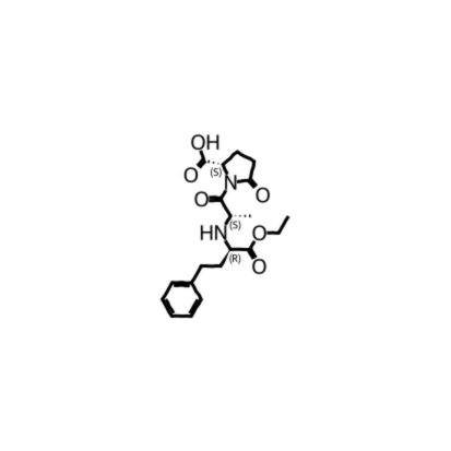 CCOC(=O)[C@@H](CCc1ccccc1)N[C@@H](C)C(=O)N1C(=O)CC[C@H]1C(=O)O